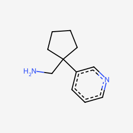 NCC1(c2cccnc2)CCCC1